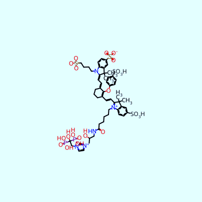 CC1(C)C(/C=C/C2=C(Oc3ccc(S(=O)(=O)O)cc3)C(=C/C=C3/N(CCCCS(=O)(=O)[O-])c4ccc(S(=O)(=O)[O-])cc4C3(C)C)/CCC2)=[N+](CCCCCC(=O)NCC(O)C[n+]2ccn(CC(O)(P(=O)(O)O)P(=O)(O)O)c2)c2ccc(S(=O)(=O)O)cc21